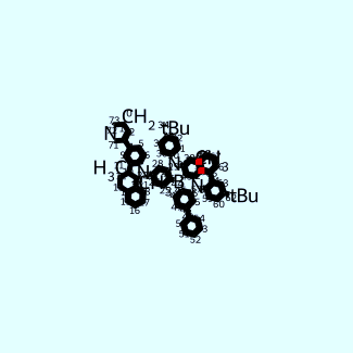 C=C1C=C(c2ccc3c(c2)C2(C)CCc4ccccc4C2(C)N3c2ccc3c(c2)N(c2ccc(C(C)(C)C)cc2)c2cc(C)cc4c2B3c2ccc(-c3ccccc3)cc2N4c2ccc(C(C)(C)C)cc2-c2ccccc2)C=NC1